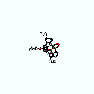 COc1ccc2c(c1)c1cc(OC)ccc1n2-c1ccccc1-c1ccncc1-c1cnccc1-c1ccccc1-n1c2ccc(OC)cc2c2cc(OC)ccc21